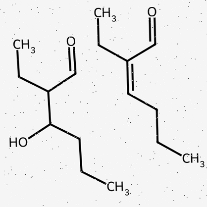 CCCC(O)C(C=O)CC.CCCC=C(C=O)CC